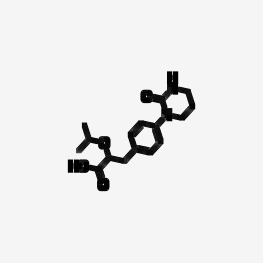 CC(C)OC(Cc1ccc(N2CCCNC2=O)cc1)C(=O)O